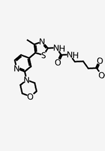 COC(=O)CCCNC(=O)Nc1nc(C)c(-c2ccnc(N3CCOCC3)c2)s1